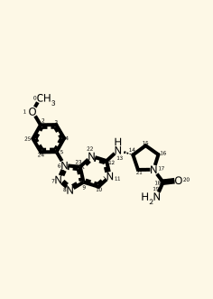 COc1ccc(-n2nnc3cnc(N[C@@H]4CCN(C(N)=O)C4)nc32)cc1